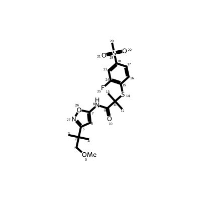 COCC(C)(C)c1cc(NC(=O)C(C)(C)Sc2ccc(S(C)(=O)=O)cc2F)on1